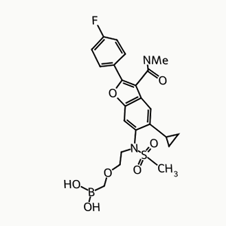 CNC(=O)c1c(-c2ccc(F)cc2)oc2cc(N(CCOCB(O)O)S(C)(=O)=O)c(C3CC3)cc12